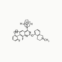 CN1CCc2c(cccc2Oc2nc(N3C[C@H]4CC[C@@H](C3)N4)c3cc(Cl)c(-c4c(O)cccc4F)c(F)c3n2)C1